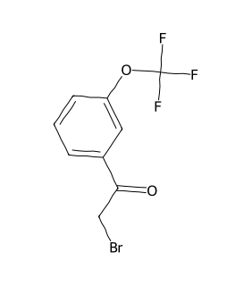 O=C(CBr)c1cccc(OC(F)(F)F)c1